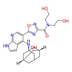 O=C(c1noc(-c2cnc3[nH]ccc3c2N[C@@]23CC4C[C@H](C2)C(O)[C@@H](C4)C3)n1)N(CCO)CCO